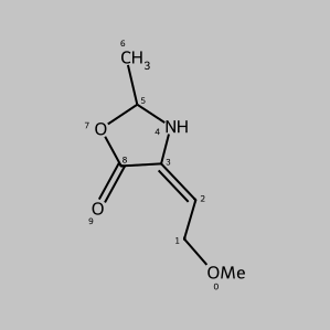 COC/C=C1/NC(C)OC1=O